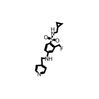 O=S(=O)(NCC1CC1)c1ccc(NCc2ccncc2)cc1CF